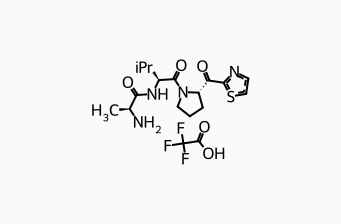 CC(C)[C@H](NC(=O)[C@H](C)N)C(=O)N1CCC[C@H]1C(=O)c1nccs1.O=C(O)C(F)(F)F